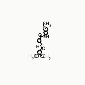 CCN1CCc2ccc(NC(=O)c3cccc(CNC(=O)c4ccc(OC)c(OC)c4)c3)cc2C1